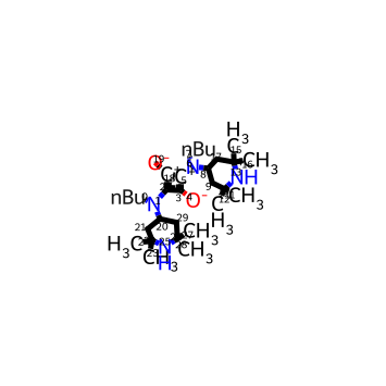 CCCCN(c1c([O-])[c+](N(CCCC)C2CC(C)(C)NC(C)(C)C2)[c+]1[O-])C1CC(C)(C)NC(C)(C)C1